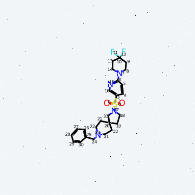 O=S(=O)(c1ccc(N2CCC(F)(F)CC2)nc1)N1CCC2(CCN(Cc3ccccc3)CC2)C1